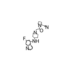 N#CC1CCCN1C(=O)CN1CCC(Nc2cc(F)cc3ncccc23)CC1